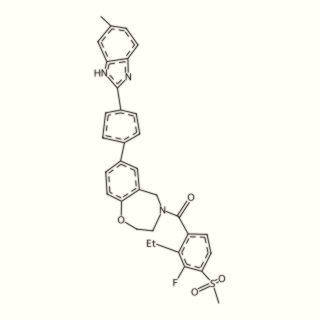 CCc1c(C(=O)N2CCOc3ccc(-c4ccc(-c5nc6ccc(C)cc6[nH]5)cc4)cc3C2)ccc(S(C)(=O)=O)c1F